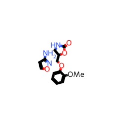 COc1ccccc1OCC1CNC(=O)O1.Nc1ccon1